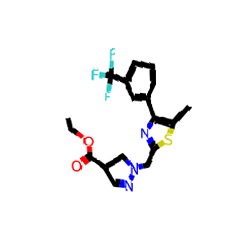 CCOC(=O)C1C=NN(Cc2nc(-c3cccc(C(F)(F)F)c3)c(C)s2)C1